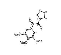 COc1cc(C(=O)C(=O)N2CCCC2)cc(OC)c1OC